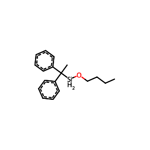 CCCCO[SiH2]C(C)(c1ccccc1)c1ccccc1